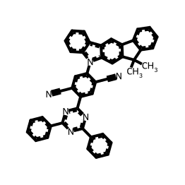 CC1(C)c2ccccc2-c2cc3c4ccccc4n(-c4cc(C#N)c(-c5nc(-c6ccccc6)nc(-c6ccccc6)n5)cc4C#N)c3cc21